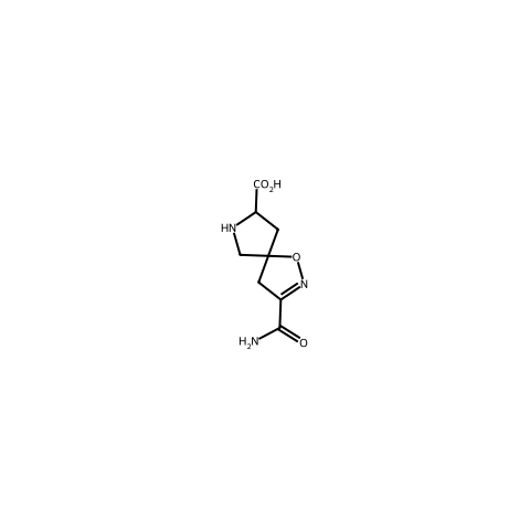 NC(=O)C1=NOC2(CNC(C(=O)O)C2)C1